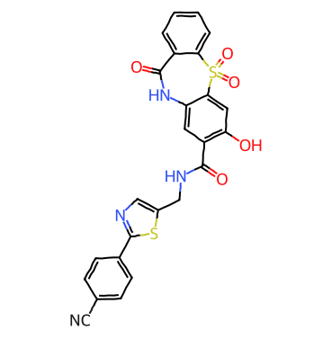 N#Cc1ccc(-c2ncc(CNC(=O)c3cc4c(cc3O)S(=O)(=O)c3ccccc3C(=O)N4)s2)cc1